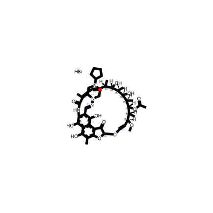 Br.CO[C@H]1/C=C/O[C@@]2(C)Oc3c(C)c(O)c4c(O)c(c(/C=N/N5CCN(C6CCCC6)CC5)c(O)c4c3C2=O)NC(=O)/C(C)=C\C=C\[C@H](C)[C@H](O)[C@@H](C)[C@@H](O)[C@@H](C)[C@H](OC(C)=O)[C@@H]1C